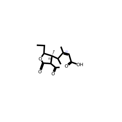 CCC1OC(=O)C(C(C)=O)[C@]1(C)C(C)/C(C)=C\C(=O)O